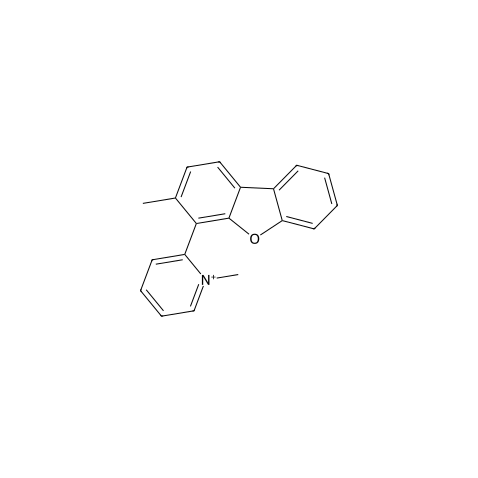 Cc1ccc2c(oc3ccccc32)c1-c1cccc[n+]1C